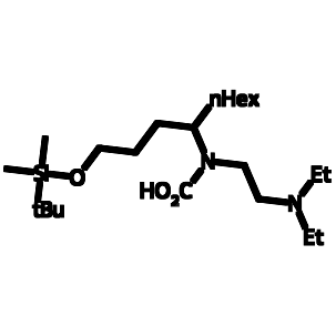 CCCCCCC(CCCO[Si](C)(C)C(C)(C)C)N(CCN(CC)CC)C(=O)O